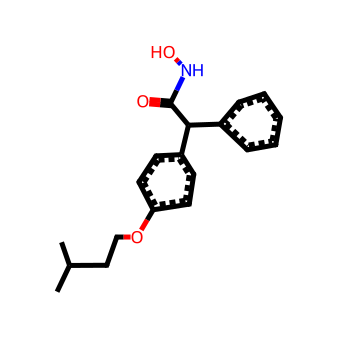 CC(C)CCOc1ccc(C(C(=O)NO)c2ccccc2)cc1